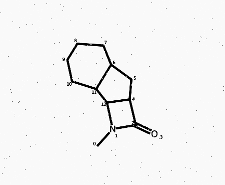 CN1C(=O)C2CC3CCCCC3C21